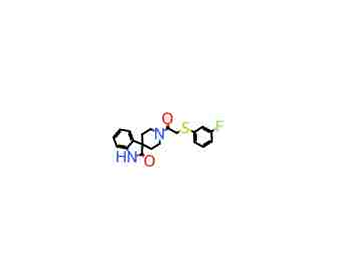 O=C(CSc1cccc(F)c1)N1CCC2(CC1)C(=O)Nc1ccccc12